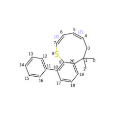 CC1(C)C/C=C\C=C/Sc2c(-c3ccccc3)cccc21